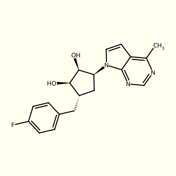 Cc1ncnc2c1ccn2[C@H]1C[C@H](Cc2ccc(F)cc2)[C@@H](O)[C@H]1O